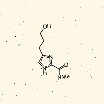 CNC(=O)c1nc(CCCO)c[nH]1